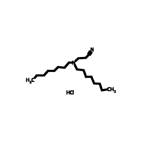 CCCCCCCCN(CCC#N)CCCCCCCC.Cl